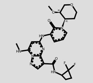 CNc1cc(Nc2cccn([C@@H]3CCOC[C@@H]3OC)c2=O)nc2c(C(=O)NC3CCC3(F)F)cnn12